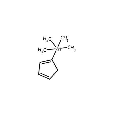 [CH3][Zn]([CH3])([CH3])([CH3])[C]1=CC=CC1